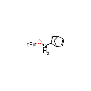 CC(C)(C)O[SiH2]C1CC2C=CC1C2